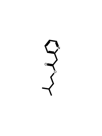 CC(C)CCOC(=O)Cc1ccccn1